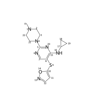 CN1CCN(c2ncc(Sc3ccno3)c(NC3CC3)n2)CC1